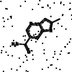 Cc1cn2ncc(C(N)=O)cc2n1